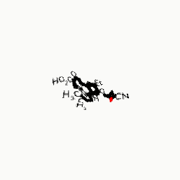 CCc1cc2c(cc1OCC13CC(C#N)(C1)C3)[C@H]1CCC(C)(C)N1n1cc(C(=O)O)c(=O)cc1-2